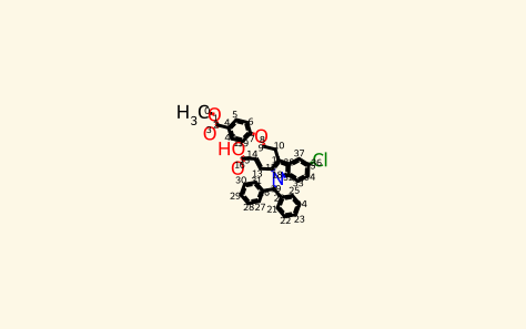 COC(=O)c1ccc(OCCc2c(/C=C/C(=O)O)n(C(c3ccccc3)c3ccccc3)c3ccc(Cl)cc23)cc1